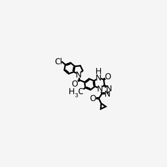 Cc1cc2c(cc1C(=O)N1CCc3cc(Cl)ccc31)[nH]c(=O)c1nnc(C(=O)C3CC3)n12